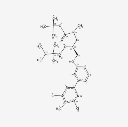 Cc1c(Cl)nc(-c2cccc(OC[C@H](CN(C)C(=O)OC(C)(C)C)O[SiH2]C(C)(C)C(C)C)c2)nc1Cl